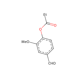 [CH2]CC(=O)Oc1ccc(C=O)cc1OC